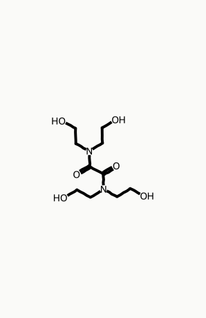 O=C(C(=O)N(CCO)CCO)N(CCO)CCO